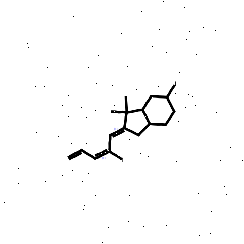 C=C/C=C(I)\C=C1/CC2CCC(I)CC2C1(C)C